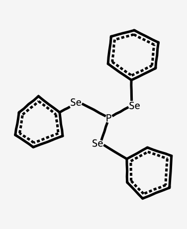 c1ccc([Se]P([Se]c2ccccc2)[Se]c2ccccc2)cc1